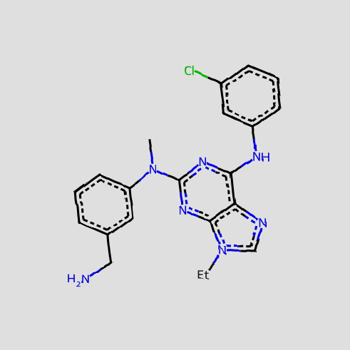 CCn1cnc2c(Nc3cccc(Cl)c3)nc(N(C)c3cccc(CN)c3)nc21